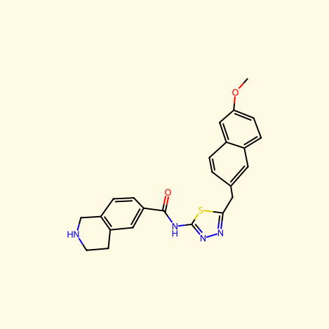 COc1ccc2cc(Cc3nnc(NC(=O)c4ccc5c(c4)CCNC5)s3)ccc2c1